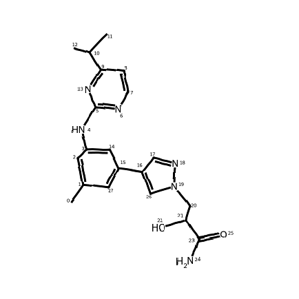 Cc1cc(Nc2nccc(C(C)C)n2)cc(-c2cnn(CC(O)C(N)=O)c2)c1